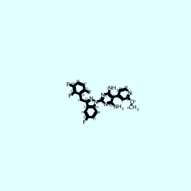 COc1cc(-c2c(N)nc(-n3nc(Cc4c(F)ccc(F)c4F)c4cc(F)ccc43)nc2N)ccn1